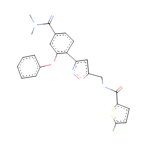 CN(C)C(=N)c1ccc(-c2cc(CNC(=O)c3ccc(Cl)s3)on2)c(Oc2ccccc2)c1